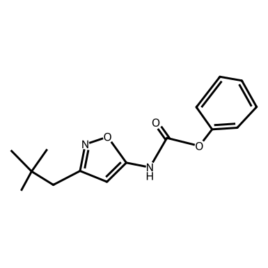 CC(C)(C)Cc1cc(NC(=O)Oc2ccccc2)on1